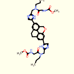 CCCN(Cc1ncc(-c2cc3c4c(c2)COc2cc(-c5cnc(CN(CCC)C(=O)CNC(=O)OC)[nH]5)cc(c2-4)CC3)[nH]1)C(=O)CNC(=O)OC